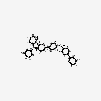 c1ccc(-c2ccc(Nc3ccc(-c4ccc5c(c4)c4ncccc4n5-c4ccccc4)cc3)cc2)cc1